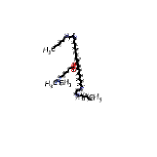 CCCCC/C=C\C/C=C\CCCCCCCCC(CCCCCCCC/C=C\C/C=C\CCCCC)OC(=O)CCCCCN(C)C